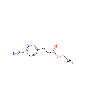 CCOC(=O)CCc1ccc(C#N)nc1